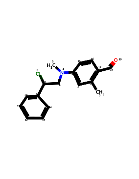 Cc1cc(N(C)CC(Cl)c2ccccc2)ccc1C=O